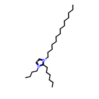 CCCCCCCCCCCCCC[n+]1ccn(CCCC)c1CCCCCC